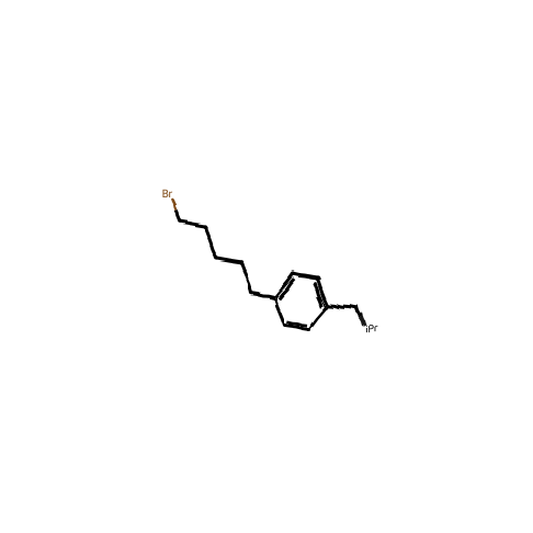 CC(C)Cc1ccc(CCCCCBr)cc1